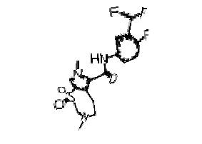 CN1CCc2c(cn(C)c2C(=O)Nc2ccc(F)c(C(F)F)c2)S(=O)(=O)C1